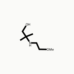 COCCNC(C)(C)CO